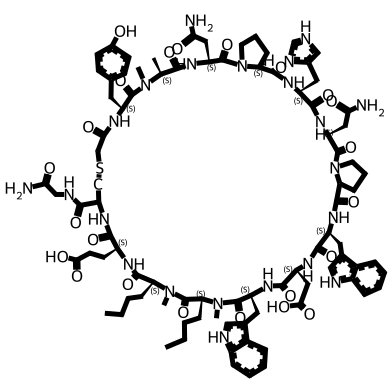 CCCC[C@H]1C(=O)N(C)[C@@H](CCCC)C(=O)N[C@@H](CCC(=O)O)C(=O)NC(C(=O)NCC(N)=O)CSCC(=O)N[C@@H](Cc2ccc(O)cc2)C(=O)N(C)[C@@H](C)C(=O)N[C@@H](CC(N)=O)C(=O)N2CCC[C@H]2C(=O)N[C@@H](Cc2c[nH]cn2)C(=O)N[C@@H](CC(N)=O)C(=O)N2CCCC2C(=O)N[C@@H](Cc2c[nH]c3ccccc23)C(=O)N[C@@H](CC(=O)O)C(=O)N[C@@H](Cc2c[nH]c3ccccc23)C(=O)N1C